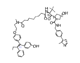 CC/C(=C(/c1ccc(O)cc1)c1ccc(OCCN(C)C(=O)CCCCCCCC(=O)N[C@H](C(=O)N2C[C@H](O)C[C@H]2C(=O)NCc2ccc(-c3scnc3C)cc2)C(C)(C)C)cc1)c1ccccc1